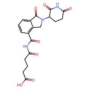 O=C(O)CCCC(=O)NC(=O)c1cccc2c1CN(C1CCC(=O)NC1=O)C2=O